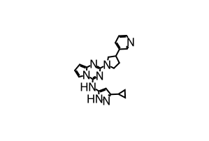 c1cncc(C2CCN(c3nc(Nc4cc(C5CC5)n[nH]4)n4cccc4n3)C2)c1